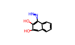 N=Nc1c(O)c(O)cc2ccccc12